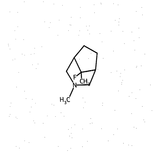 CN1CC2CCC(C1)C2(C)F